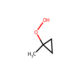 CC1(OO)CC1